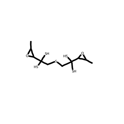 CC1OC1C(S)(S)CSCC(S)(S)C1OC1C